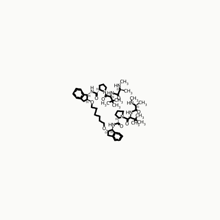 CN[C@@H](C)C(=O)N[C@H](C(=O)N1CCC[C@H]1C(=O)N[C@H]1c2ccccc2C[C@@H]1OCCCCCCO[C@H]1Cc2ccccc2[C@@H]1NC(=O)[C@@H]1CCCN1C(=O)[C@@H](NC(=O)[C@H](C)NC)C(C)(C)C)C(C)(C)C